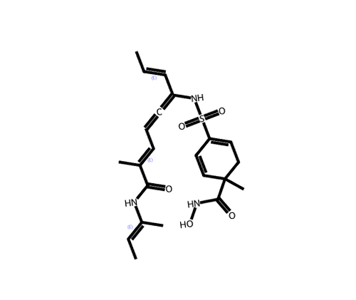 C/C=C/C(=C=C/C=C(\C)C(=O)N/C(C)=C/C)NS(=O)(=O)C1=CCC(C)(C(=O)NO)C=C1